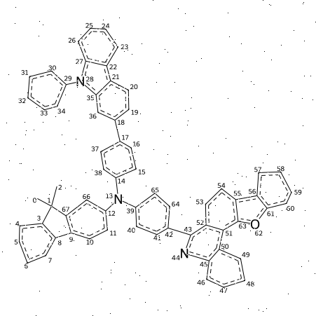 CC1(C)c2ccccc2-c2ccc(N(c3ccc(-c4ccc5c6ccccc6n(-c6ccccc6)c5c4)cc3)c3ccc(-c4nc5ccccc5c5c4ccc4c6ccccc6oc45)cc3)cc21